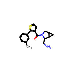 Cc1cccc(-c2sccc2C(=O)N2CC3CC3C2CN)c1